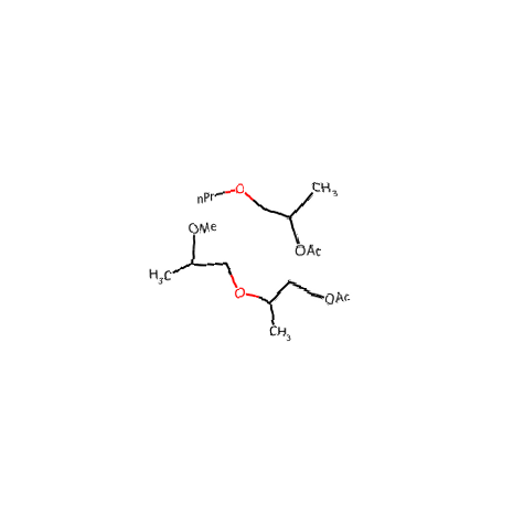 CCCOCC(C)OC(C)=O.COC(C)COC(C)COC(C)=O